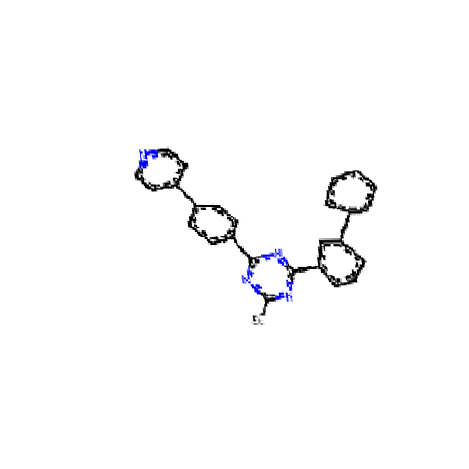 CCc1nc(-c2ccc(-c3ccncc3)cc2)nc(-c2cccc(-c3ccccc3)c2)n1